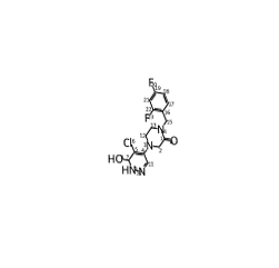 O=C1CN(C2=C(Cl)C(O)NN=C2)CCN1Cc1ccc(F)cc1F